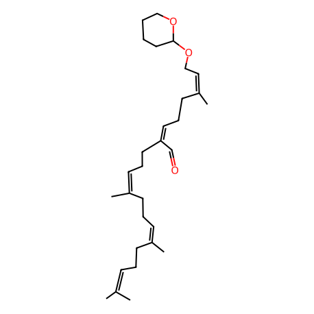 CC(C)=CCCC(C)=CCCC(C)=CCCC(C=O)=CCCC(C)=CCOC1CCCCO1